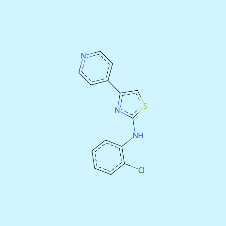 Clc1ccccc1Nc1nc(-c2ccncc2)cs1